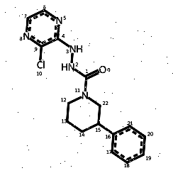 O=C(NNc1nccnc1Cl)N1CCCC(c2ccccc2)C1